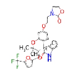 CC1(C)Oc2cc(OCCN3CCOC3=O)ccc2[C@@]2(C(=O)Nc3ccccc32)C1Cc1ccc(C(F)(F)F)o1